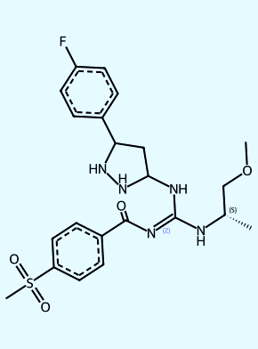 COC[C@H](C)N/C(=N/C(=O)c1ccc(S(C)(=O)=O)cc1)NC1CC(c2ccc(F)cc2)NN1